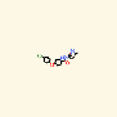 CC1CC2CCN1CC2NC(=O)c1ccc(Oc2ccc(Cl)cc2)cc1